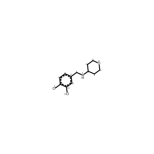 Clc1ccc(CNC2CCOCC2)cc1Cl